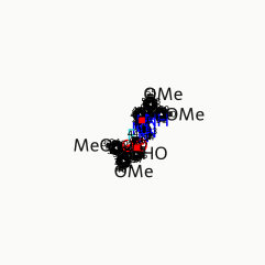 COc1ccc(C(Nc2ncnc3c2ncn3[C@@H]2OC(C=O)[C@@H](OC(c3ccccc3)(c3ccc(OC)cc3)c3ccc(OC)cc3)[C@H]2F)(c2ccccc2)c2ccc(OC)cc2)cc1